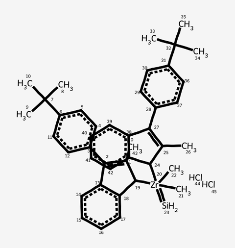 CC1=C(c2ccc(C(C)(C)C)cc2)c2ccccc2[CH]1[Zr]([CH3])([CH3])(=[SiH2])[CH]1C(C)=C(c2ccc(C(C)(C)C)cc2)c2ccccc21.Cl.Cl